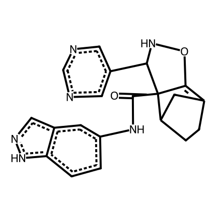 O=C(Nc1ccc2[nH]ncc2c1)C12C(=C3CCC1C3)ONC2c1cncnc1